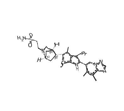 Cc1c(-c2[nH]c3sc([C@@H]4C[C@@H]5C[C@H]4CN5CCS(N)(=O)=O)c(C)c3c2C(C)C)cn2ncnc2c1C